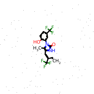 C=C/C(=C\c1[nH]c(=O)n(-c2cc(C(F)(F)F)ccc2O)c1C)C(F)(F)F